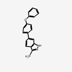 Nc1n[nH]c2cc(-c3ccc(Oc4ccccc4)cc3)ccc12